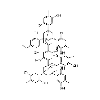 CCc1cc(O)c(C23CC4(c5cc(O)c(C)cc5O)CC(c5cc(O)c(C)cc5O)(C2)CC(c2cc(O)c(C56CC7(c8cc(O)c(C)cc8O)CC(c8cc(O)c(C)cc8O)(CC(c8cc(O)c(C)cc8O)(C7)C5)C6)cc2O)(C4)C3)cc1O